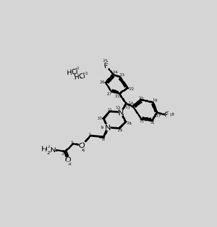 Cl.Cl.NC(=O)COCCN1CCN(C(c2ccc(F)cc2)c2ccc(F)cc2)CC1